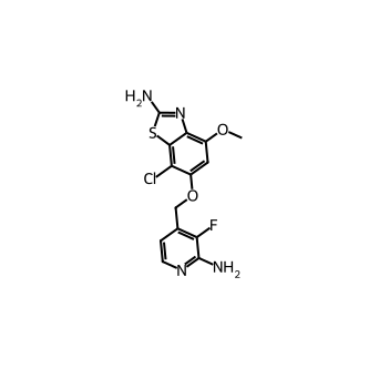 COc1cc(OCc2ccnc(N)c2F)c(Cl)c2sc(N)nc12